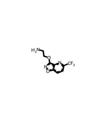 NCCOc1noc2ccc(C(F)(F)F)nc12